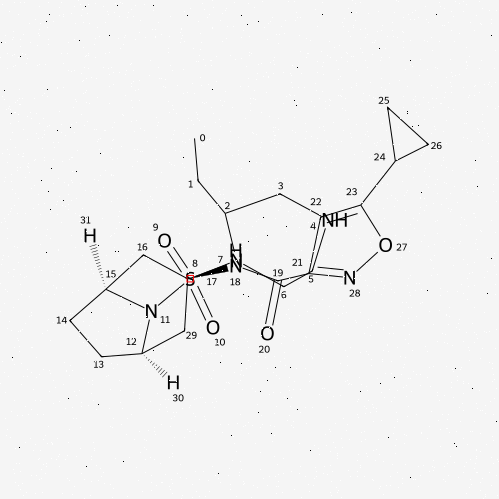 CCC1CNCCN1S(=O)(=O)N1[C@@H]2CC[C@H]1C[C@@H](NC(=O)c1cc(C3CC3)on1)C2